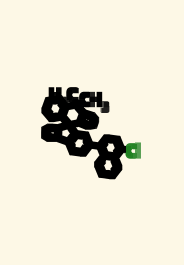 CC1(C)c2ccccc2C2(c3ccccc3-c3ccc(-c4ccc(Cl)c5ccccc45)cc32)c2ccccc21